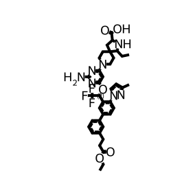 CCOC(=O)CCc1cccc(-c2ccc(-n3ccc(C)n3)c([C@@H](Oc3cc(N4CCC5(CC4)CC(C(=O)O)NC5CC)nc(N)n3)C(F)(F)F)c2)c1